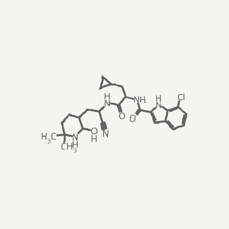 CC1(C)CCC(CC(C#N)NC(=O)C(CC2CC2)NC(=O)c2cc3cccc(Cl)c3[nH]2)C(O)N1